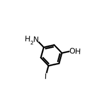 Nc1cc(O)cc(I)c1